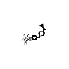 CC(C1CC1)C1CCN(Cc2ccc([C@H](N[SH](C)(C)=O)C(F)(F)F)cc2)CC1